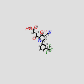 N#Cc1cc(-c2cccc(C(F)(F)F)c2)nc(C(=O)CCC(=O)O)c1O